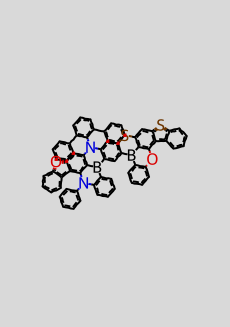 c1ccc(-c2cccc(-c3ccccc3)c2N2c3cc4c(cc3B3c5ccccc5N(c5ccccc5)c5c3c2cc2oc3ccccc3c52)B2c3ccccc3Oc3c2c(cc2sc5ccccc5c32)S4)cc1